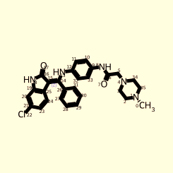 CN1CCN(CC(=O)Nc2ccc(N/C(=C3\C(=O)Nc4cc(Cl)ccc43)c3ccccc3)cc2)CC1